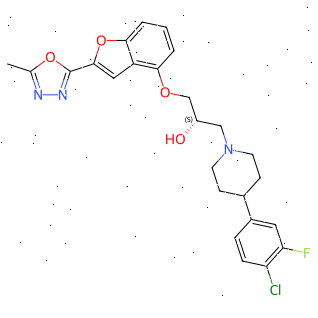 Cc1nnc(-c2cc3c(OC[C@@H](O)CN4CCC(c5ccc(Cl)c(F)c5)CC4)cccc3o2)o1